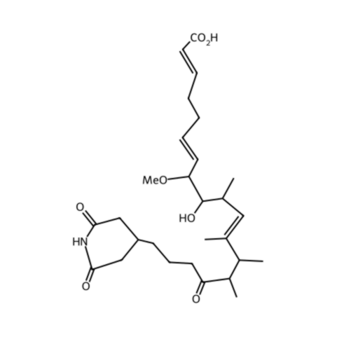 COC(/C=C/CC/C=C/C(=O)O)C(O)C(C)/C=C(\C)C(C)C(C)C(=O)CCCC1CC(=O)NC(=O)C1